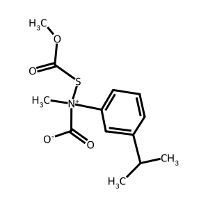 COC(=O)S[N+](C)(C(=O)[O-])c1cccc(C(C)C)c1